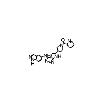 O=C(c1ccccn1)N1CC=C(c2cc3c(Nc4ccc5[nH]ncc5c4)ncnc3[nH]2)CC1